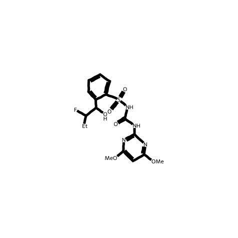 CCC(F)C(O)c1ccccc1S(=O)(=O)NC(=O)Nc1nc(OC)cc(OC)n1